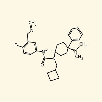 C=NCc1cc(N2C[C@]3(CC[C@](c4ccccc4)(N(C)C)CC3)N(CC3CCC3)C2=O)ccc1F